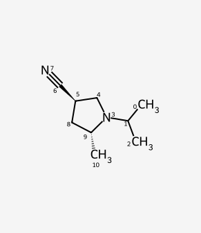 CC(C)N1C[C@H](C#N)C[C@H]1C